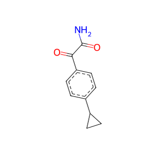 NC(=O)C(=O)c1ccc(C2CC2)cc1